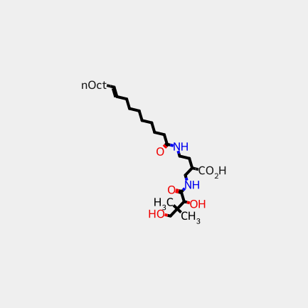 CCCCCCCCC=CCCCCCCCC(=O)NCCC(CNC(=O)C(O)C(C)(C)CO)C(=O)O